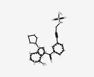 CS(=O)(=O)NCC#Cc1cccc(C(=O)c2cn(C3CCCC3)c3ncnc(N)c23)c1